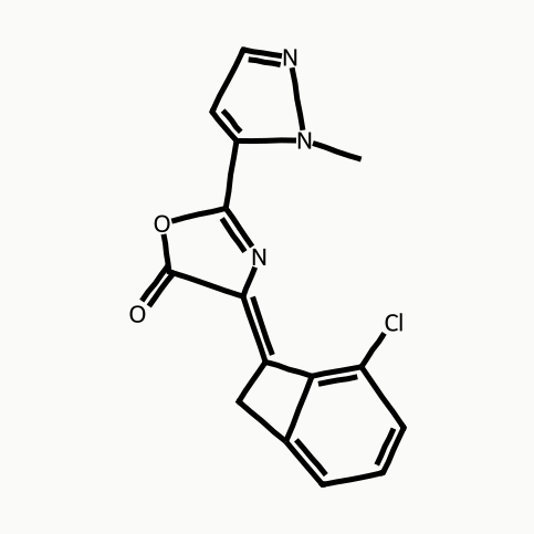 Cn1nccc1C1=NC(=C2Cc3cccc(Cl)c32)C(=O)O1